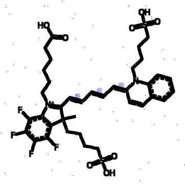 CC1(CCCCS(=O)(=O)O)C(/C=C/C=C/C=C2\C=Cc3ccccc3N2CCCCS(=O)(=O)O)=[N+](CCCCCC(=O)O)c2c(F)c(F)c(F)c(F)c21